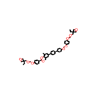 CCC1(COCOc2ccc(OCOc3ccc(-c4ccc(-c5cc(C)c(OC(=O)c6ccc(OCOCC7(CC)COC7)cc6)c(C)c5)cc4)cc3)cc2)COC1